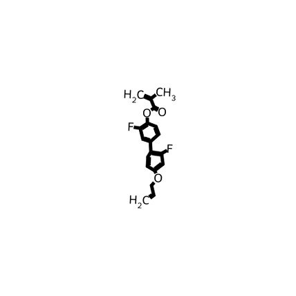 C=CCOc1ccc(-c2ccc(OC(=O)C(=C)C)c(F)c2)c(F)c1